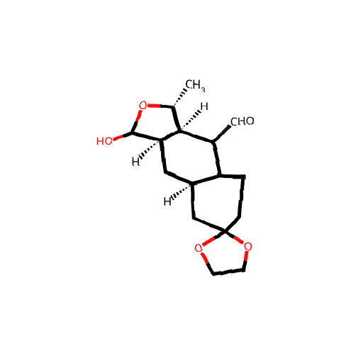 C[C@H]1OC(O)[C@@H]2C[C@@H]3CC4(CCC3C(C=O)[C@H]12)OCCO4